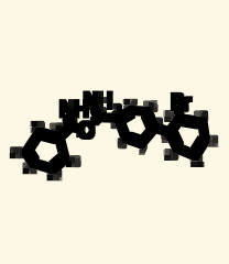 N=C(OC(N)c1ccc(-c2ccccc2Br)cc1)c1ccccc1